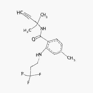 C#CC(C)(C)NC(=O)c1ccc(C)cc1NCCC(F)(F)F